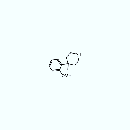 COc1ccccc1C1(C)CCNCC1